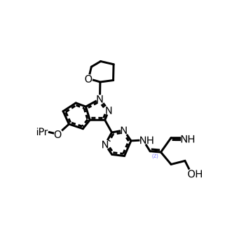 CC(C)Oc1ccc2c(c1)c(-c1nccc(N/C=C(\C=N)CCO)n1)nn2C1CCCCO1